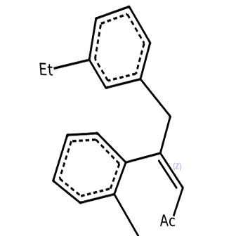 CCc1cccc(C/C(=C/C(C)=O)c2ccccc2C)c1